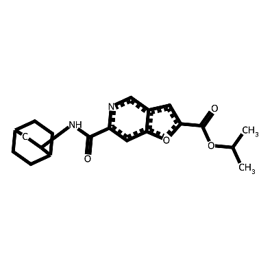 CC(C)OC(=O)c1cc2cnc(C(=O)NC3CC4CCC3CC4)cc2o1